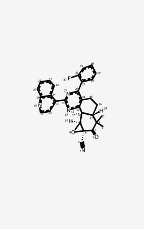 CC1(C)C(=O)[C@@]2(C#N)O[C@H]2[C@@]2(C)c3nc(-c4ccnc5ccccc45)nc(-c4ccccc4F)c3CC[C@H]12